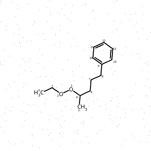 CCOOC(C)CCCc1ccccc1